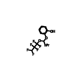 CCCC(Oc1ccccc1O)OC(F)(F)C(F)(F)C(F)F